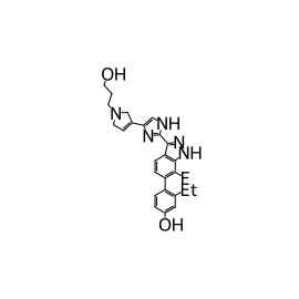 CCc1cc(O)ccc1-c1ccc2c(-c3nc(C4=CCN(CCCO)C4)c[nH]3)n[nH]c2c1F